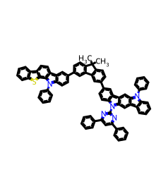 CC1(C)c2ccc(-c3ccc4c(c3)c3cc5c(cc3n4-c3nc(-c4ccccc4)cc(-c4ccccc4)n3)c3ccccc3n5-c3ccccc3)cc2-c2cc(-c3ccc4c(c3)c3ccc5c6ccccc6sc5c3n4-c3ccccc3)ccc21